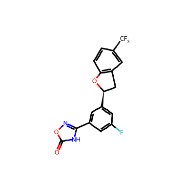 O=c1[nH]c(-c2cc(F)cc([C@@H]3Cc4cc(C(F)(F)F)ccc4O3)c2)no1